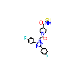 O=C(NS)C1CCN(C(=O)Cn2nc(-c3ccc(F)cc3)nc2-c2ccc(F)cc2)CC1